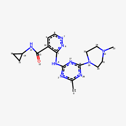 CCc1nc(Nc2nnccc2C(=O)NC2CC2)nc(N2CCN(C)CC2)n1